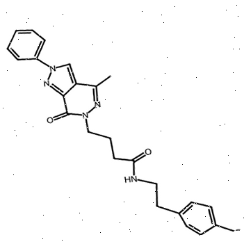 Cc1nn(CCCC(=O)NCCc2ccc(F)cc2)c(=O)c2nn(-c3ccccc3)cc12